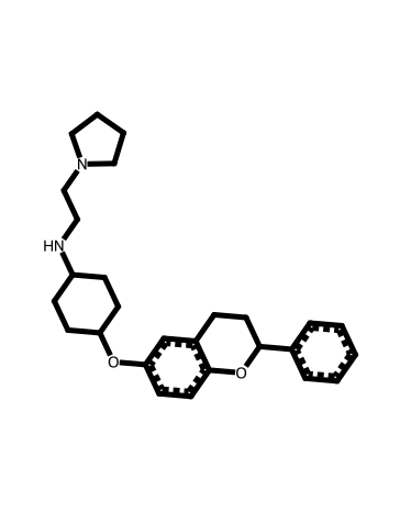 c1ccc(C2CCc3cc(OC4CCC(NCCN5CCCC5)CC4)ccc3O2)cc1